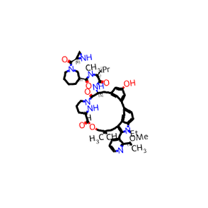 CCn1c(-c2cccnc2[C@H](C)OC)c2c3cc(ccc31)-c1cc(O)cc(c1)C[C@H](NC(=O)[C@H](C(C)C)N(C)C(=O)[C@H]1CCCCN(C(=O)[C@H]3CN3)C1)C(=O)N1CCC[C@H](N1)C(=O)OCC(C)(C)C2